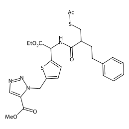 CCOC(=O)C(NC(=O)C(CCc1ccccc1)CSC(C)=O)c1ccc(Cn2nncc2C(=O)OC)s1